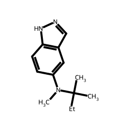 CCC(C)(C)N(C)c1ccc2[nH]ncc2c1